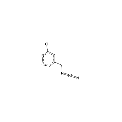 [N-]=[N+]=NCc1ccnc(Cl)c1